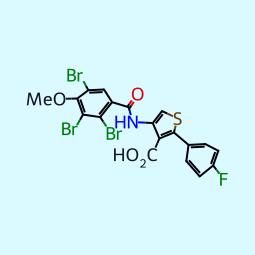 COc1c(Br)cc(C(=O)Nc2csc(-c3ccc(F)cc3)c2C(=O)O)c(Br)c1Br